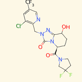 O=C([C@@H]1CCC(O)c2nn(Cc3ncc(C(F)(F)F)cc3Cl)c(=O)n21)N1CCC(F)(F)C1